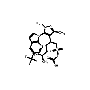 Cc1nn(C)c(-n2ccc3cc(C(F)(F)F)cnc32)c1C(CCC(C)C)CS(=O)(=O)OC(N)=O